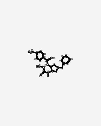 CC(C)(C)OC(=O)NC1CN(Cc2ccccc2)CC1OC(=O)c1ccc([N+](=O)[O-])cc1